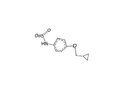 O=[SH](=O)Nc1ccc(OCC2CC2)cc1